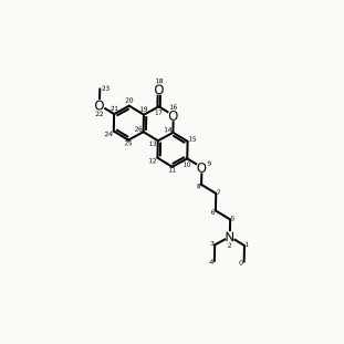 CCN(CC)CCCCOc1ccc2c(c1)oc(=O)c1cc(OC)ccc12